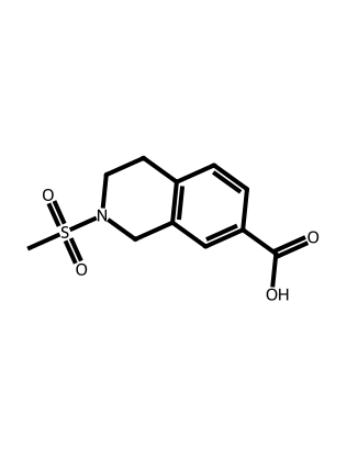 CS(=O)(=O)N1CCc2ccc(C(=O)O)cc2C1